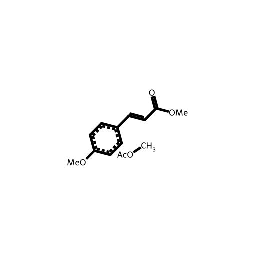 COC(=O)C=Cc1ccc(OC)cc1.COC(C)=O